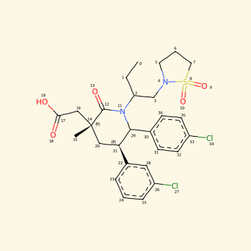 CCC(CN1CCCS1(=O)=O)N1C(=O)[C@@](C)(CC(=O)O)C[C@H](c2cccc(Cl)c2)C1c1ccc(Cl)cc1